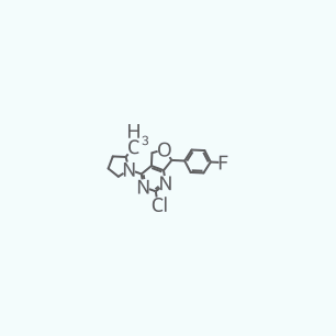 CC1CCCN1c1nc(Cl)nc2c1COC2c1ccc(F)cc1